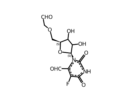 O=CCOC[C@@H]1O[C@H](n2c(C=O)c(F)c(=O)[nH]c2=O)C(O)C1O